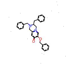 O=c1cc2n(cc1OCc1ccccc1)CC(Cc1ccccc1)N(Cc1ccccc1)C2